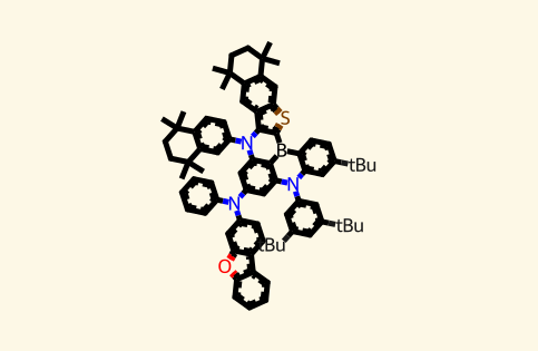 CC(C)(C)c1cc(N2c3cc(C(C)(C)C)ccc3B3c4sc5cc6c(cc5c4N(c4ccc5c(c4)C(C)(C)CCC5(C)C)c4cc(N(c5ccccc5)c5ccc7c(c5)oc5ccccc57)cc2c43)C(C)(C)CCC6(C)C)cc(C(C)(C)C)c1